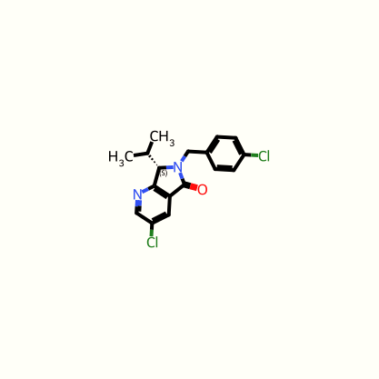 CC(C)[C@H]1c2ncc(Cl)cc2C(=O)N1Cc1ccc(Cl)cc1